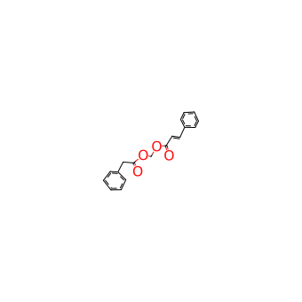 O=C(C=Cc1ccccc1)OCOC(=O)Cc1ccccc1